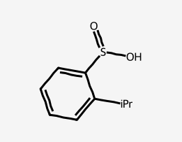 CC(C)c1ccccc1S(=O)O